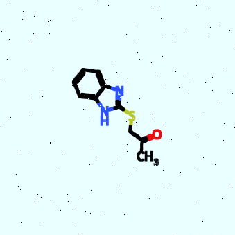 CC(=O)CSc1nc2ccccc2[nH]1